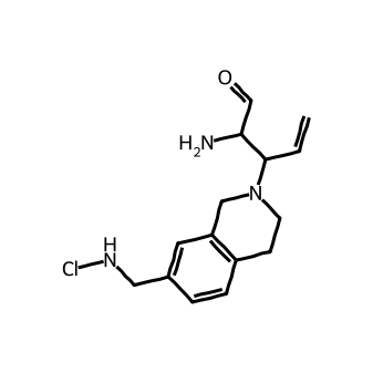 C=CC(C(N)C=O)N1CCc2ccc(CNCl)cc2C1